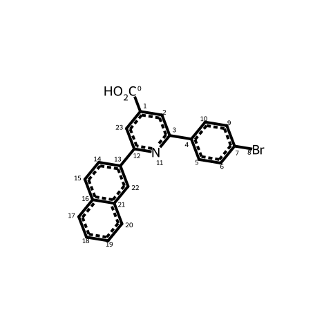 O=C(O)c1cc(-c2ccc(Br)cc2)nc(-c2ccc3ccccc3c2)c1